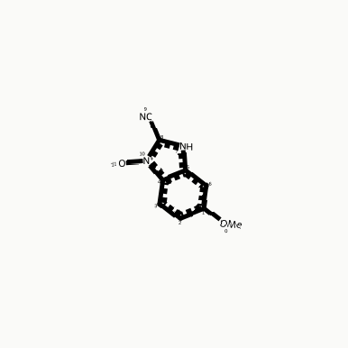 COc1ccc2c(c1)[nH]c(C#N)[n+]2[O-]